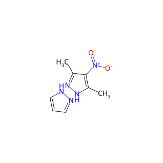 Cc1n[nH]c(C)c1[N+](=O)[O-].c1cn[nH]c1